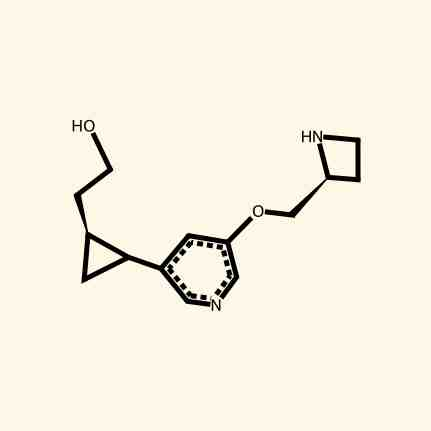 OCC[C@@H]1CC1c1cncc(OC[C@@H]2CCN2)c1